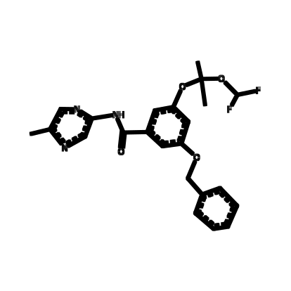 Cc1cnc(NC(=O)c2cc(OCc3ccccc3)cc(OC(C)(C)OC(F)F)c2)cn1